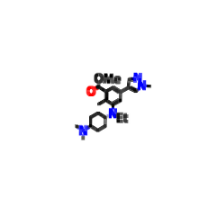 CCN(c1cc(-c2cnn(C)c2)cc(C(=O)OC)c1C)[C@H]1CC[C@H](N(C)C)CC1